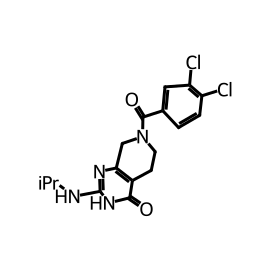 CC(C)Nc1nc2c(c(=O)[nH]1)CCN(C(=O)c1ccc(Cl)c(Cl)c1)C2